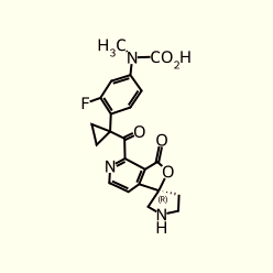 CN(C(=O)O)c1ccc(C2(C(=O)c3nccc4c3C(=O)O[C@]43CCNC3)CC2)c(F)c1